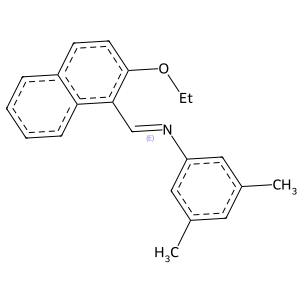 CCOc1ccc2ccccc2c1/C=N/c1cc(C)cc(C)c1